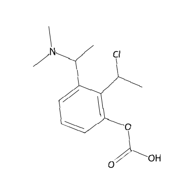 CC(Cl)c1c(OC(=O)O)cccc1C(C)N(C)C